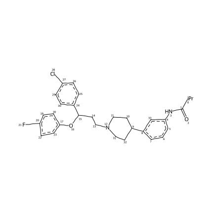 CC(C)C(=O)Nc1cccc(C2CCN(CCC(Oc3ccc(F)cc3)c3ccc(Cl)cc3)CC2)c1